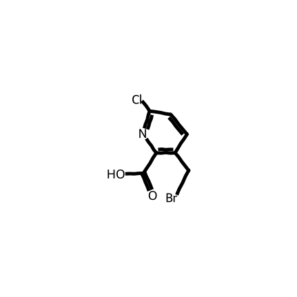 O=C(O)c1nc(Cl)ccc1CBr